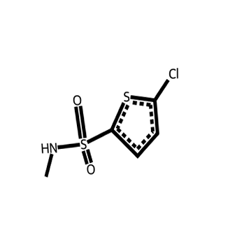 CNS(=O)(=O)c1ccc(Cl)s1